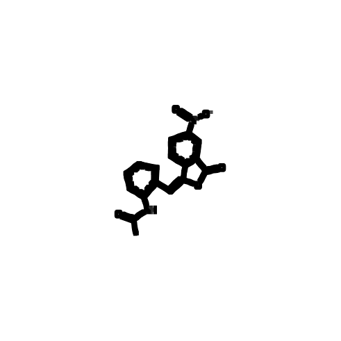 CC(=O)Nc1ccccc1/C=C1/OC(=O)c2cc([N+](=O)[O-])ccc21